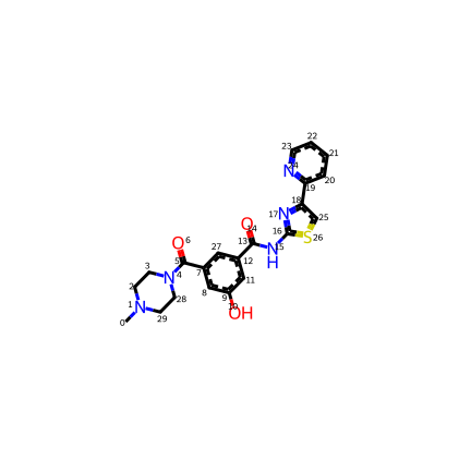 CN1CCN(C(=O)c2cc(O)cc(C(=O)Nc3nc(-c4ccccn4)cs3)c2)CC1